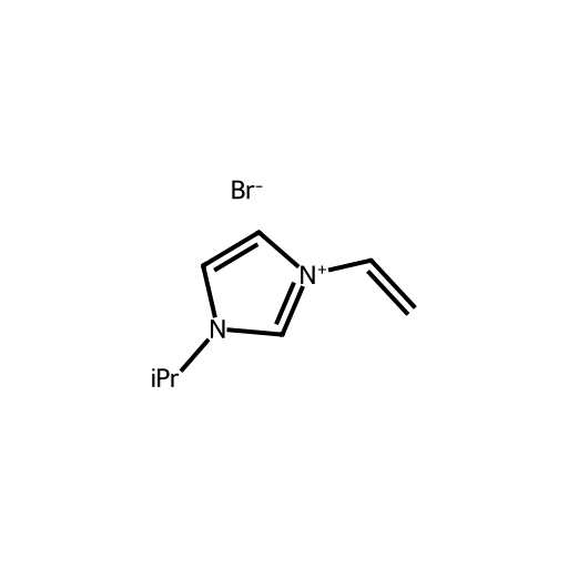 C=C[n+]1ccn(C(C)C)c1.[Br-]